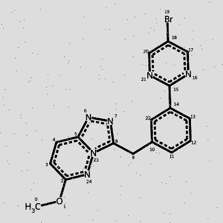 COc1ccc2nnc(Cc3cccc(-c4ncc(Br)cn4)c3)n2n1